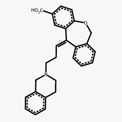 O=C(O)c1ccc2c(c1)/C(=C/CCN1CCc3ccccc3C1)c1ccccc1CO2